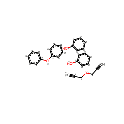 C#CCOCC#C.Oc1ccccc1.Oc1ccccc1.c1ccc(Oc2ccccc2)cc1